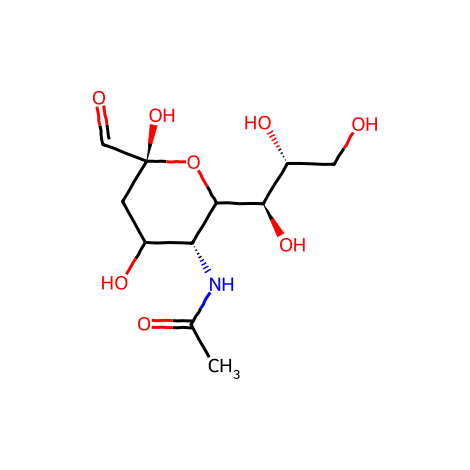 CC(=O)N[C@@H]1C(O)C[C@](O)(C=O)OC1[C@H](O)[C@H](O)CO